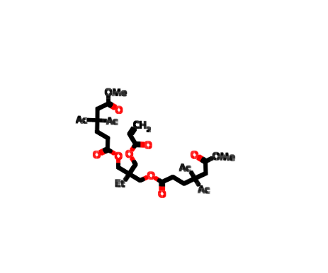 C=CC(=O)OCC(CC)(COC(=O)CCC(CC(=O)OC)(C(C)=O)C(C)=O)COC(=O)CCC(CC(=O)OC)(C(C)=O)C(C)=O